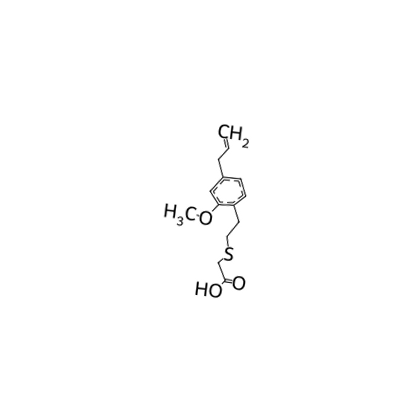 C=CCc1ccc(CCSCC(=O)O)c(OC)c1